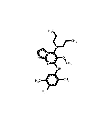 CCCN(CCC)c1c(OC)c(Nc2cc(C)c(C)cc2C)nc2nccn12